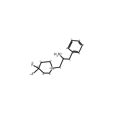 NC(Cc1ccccc1)CN1CCC(F)(F)CC1